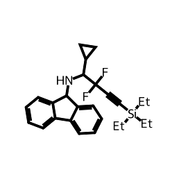 CC[Si](C#CC(F)(F)C(NC1c2ccccc2-c2ccccc21)C1CC1)(CC)CC